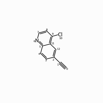 C#Cc1ccc2nccc(Cl)c2c1